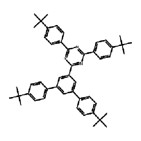 CC(C)(C)c1ccc(-c2cc(-c3ccc(C(C)(C)C)cc3)cc(-c3nc(-c4ccc(C(C)(C)C)cc4)nc(-c4ccc(C(C)(C)C)cc4)n3)c2)cc1